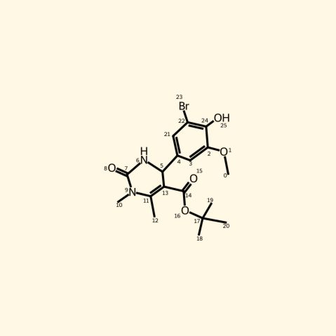 COc1cc(C2NC(=O)N(C)C(C)=C2C(=O)OC(C)(C)C)cc(Br)c1O